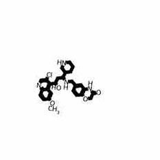 COc1ccc2ncc(Cl)c(C(O)CC(NCc3ccc4c(c3)NC(=O)CO4)C3CCCNC3)c2c1